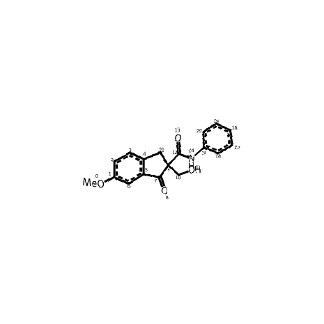 COc1ccc2c(c1)C(=O)C(CO)(C(=O)Nc1ccccc1)C2